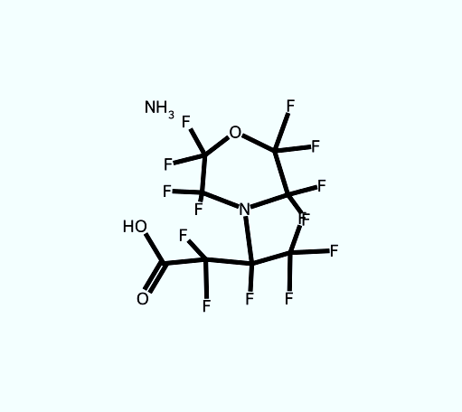 N.O=C(O)C(F)(F)C(F)(N1C(F)(F)C(F)(F)OC(F)(F)C1(F)F)C(F)(F)F